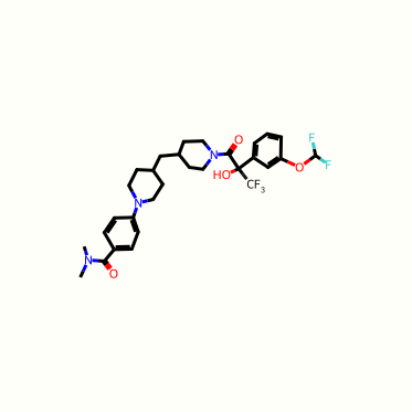 CN(C)C(=O)c1ccc(N2CCC(CC3CCN(C(=O)C(O)(c4cccc(OC(F)F)c4)C(F)(F)F)CC3)CC2)cc1